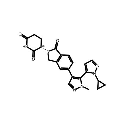 Cn1ncc(-c2ccc3c(c2)CN([C@H]2CCC(=O)NC2=O)C3=O)c1-c1ccnn1C1CC1